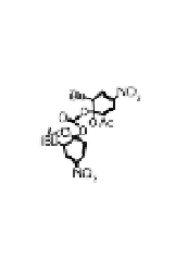 CCC(C)C1C=C([N+](=O)[O-])C=CC1(OC(C)=O)OC(=O)OC1(OC(C)=O)C=CC([N+](=O)[O-])=CC1C(C)CC